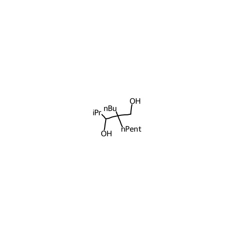 CCCCCC(CO)(CCCC)C(O)C(C)C